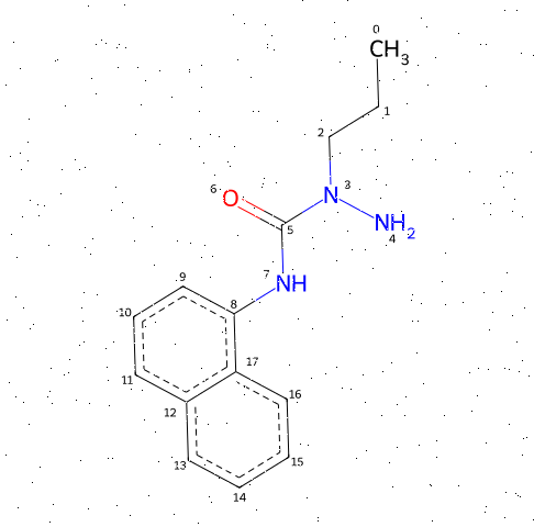 CCCN(N)C(=O)Nc1cccc2ccccc12